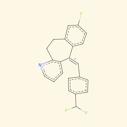 Fc1ccc2c(c1)CCc1ncccc1/C2=C\c1ccc(C(F)F)cc1